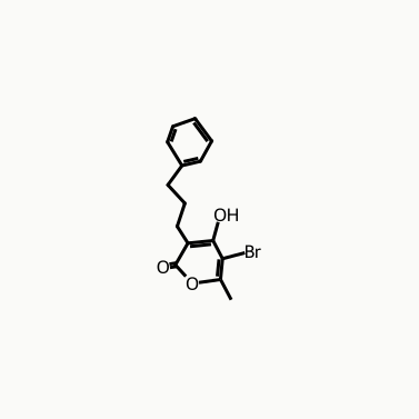 Cc1oc(=O)c(CCCc2ccccc2)c(O)c1Br